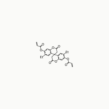 C=CC(=O)Oc1cc2c(cc1CC)C1(CC(=O)O2)CC(=O)Oc2cc(OC(=O)C=C)c(CC)cc21